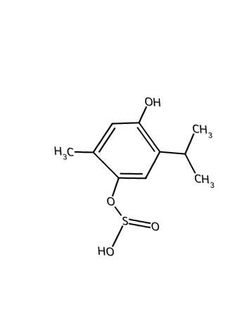 Cc1cc(O)c(C(C)C)cc1OS(=O)O